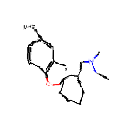 COc1ccc2c(c1)C[C@]1(CCCC[C@@H]1CN(C)C)O2